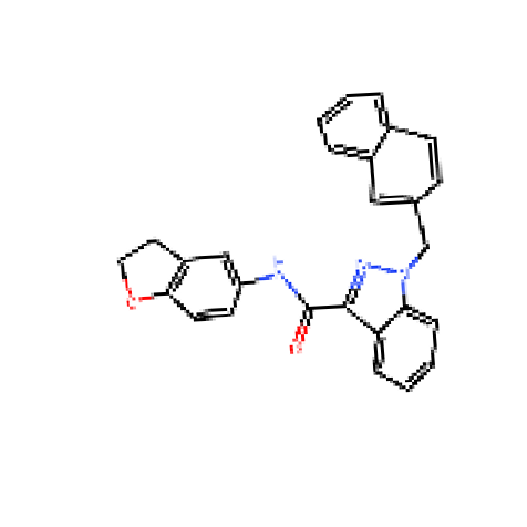 O=C(Nc1ccc2c(c1)CCO2)c1nn(Cc2ccc3ccccc3c2)c2ccccc12